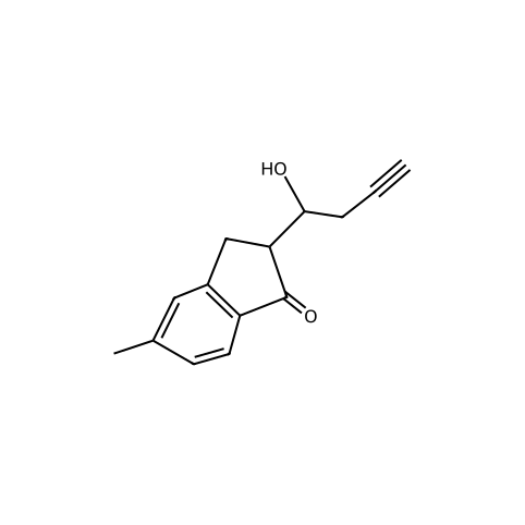 C#CCC(O)C1Cc2cc(C)ccc2C1=O